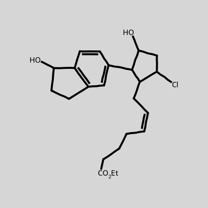 CCOC(=O)CCC/C=C\CC1C(Cl)CC(O)C1c1ccc2c(c1)CCC2O